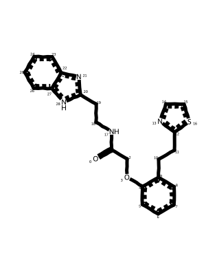 O=C(COc1ccccc1CCc1nccs1)NCCc1nc2ccccc2[nH]1